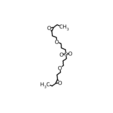 CCC1OC1CCOCCCS(=O)(=O)CCCOCCC1OC1CC